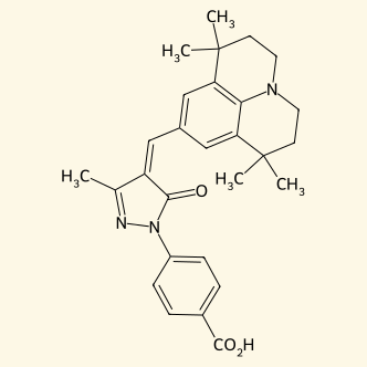 CC1=NN(c2ccc(C(=O)O)cc2)C(=O)/C1=C\c1cc2c3c(c1)C(C)(C)CCN3CCC2(C)C